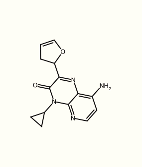 Nc1ccnc2c1nc(C1CC=CO1)c(=O)n2C1CC1